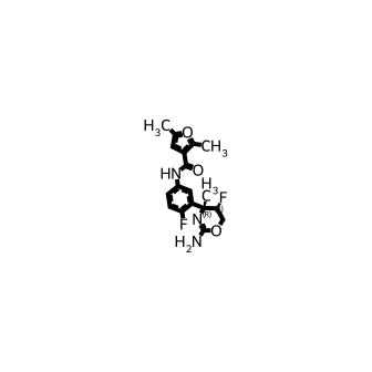 Cc1cc(C(=O)Nc2ccc(F)c([C@@]3(C)N=C(N)OC[C@@H]3F)c2)c(C)o1